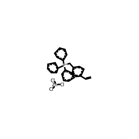 C=Cc1ccc(C[P+](c2ccccc2)(c2ccccc2)c2ccccc2)cc1.[Cl][Zn-]([Cl])[Cl]